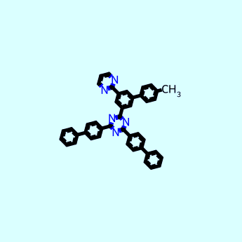 Cc1ccc(-c2cc(-c3ncccn3)cc(-c3nc(-c4ccc(-c5ccccc5)cc4)nc(-c4ccc(-c5ccccc5)cc4)n3)c2)cc1